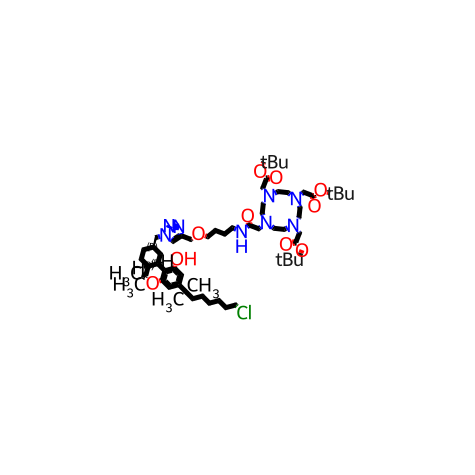 CC(C)(C)OC(=O)CN1CCN(CC(=O)NCCCCOCc2cn(C[C@@H]3CC[C@@H]4[C@@H](C3)c3c(O)cc(C(C)(C)CCCCCCCl)cc3OC4(C)C)nn2)CCN(CC(=O)OC(C)(C)C)CCN(CC(=O)OC(C)(C)C)CC1